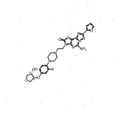 Nc1nc2c(sc(=O)n2CCN2CCN(c3ccc(O[C@H]4COC[C@@H]4O)cc3F)CC2)c2nc(-c3ccco3)nn12